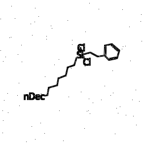 CCCCCCCCCCCCCCCCCC[Si](Cl)(Cl)CCc1ccccc1